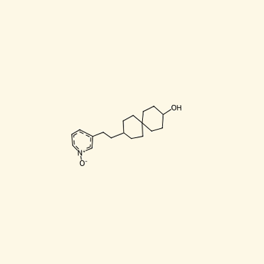 [O-][n+]1cccc(CCC2CCC3(CCC(O)CC3)CC2)c1